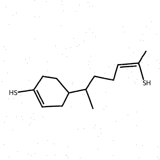 C/C(S)=C/CCC(C)C1CC=C(S)CC1